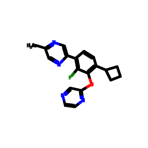 Fc1c(-c2cnc([AsH2])cn2)ccc(C2CCC2)c1Oc1cnccn1